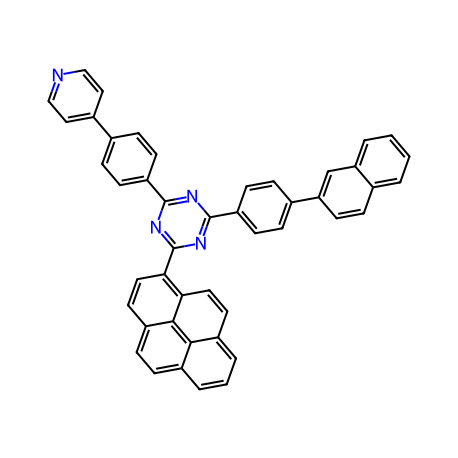 c1ccc2cc(-c3ccc(-c4nc(-c5ccc(-c6ccncc6)cc5)nc(-c5ccc6ccc7cccc8ccc5c6c78)n4)cc3)ccc2c1